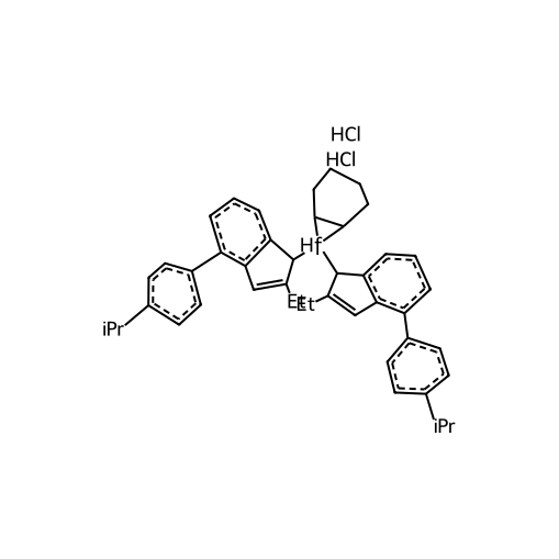 CCC1=Cc2c(-c3ccc(C(C)C)cc3)cccc2[CH]1[Hf]1([CH]2C(CC)=Cc3c(-c4ccc(C(C)C)cc4)cccc32)[CH]2CCCC[CH]21.Cl.Cl